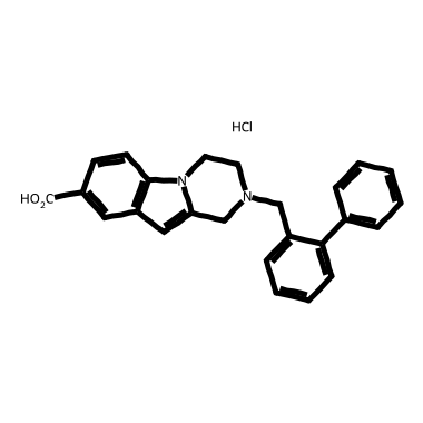 Cl.O=C(O)c1ccc2c(c1)cc1n2CCN(Cc2ccccc2-c2ccccc2)C1